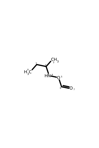 CCC(C)NOC=O